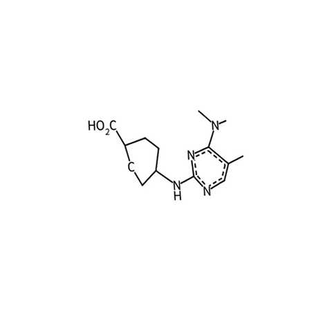 Cc1cnc(NC2CCC(C(=O)O)CC2)nc1N(C)C